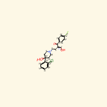 O=C(/C(=C/O)CCN1CCC(O)(c2ccccc2Cl)CC1)c1ccc(F)cc1